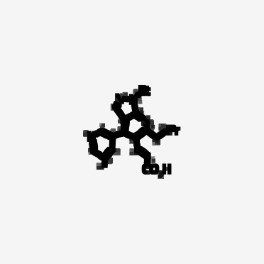 CCn1ncc2c(-c3cncc(C)c3)c(C=CC(=O)O)c(CC(C)C)nc21